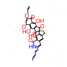 C=CCOC1=CC(=O)c2c(O)c3c(c(O)c2C1=O)C(=O)[C@]1(CCc2cc4cc(/C=C/C=C/C)[nH]c(=O)c4c(O)c21)C3=O